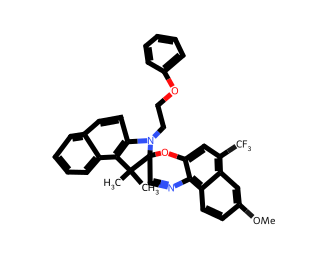 COc1ccc2c3c(cc(C(F)(F)F)c2c1)OC1(C=N3)N(CCOc2ccccc2)c2ccc3ccccc3c2C1(C)C